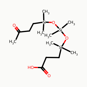 CC(=O)CC[Si](C)(C)O[Si](C)(C)O[Si](C)(C)CCC(=O)O